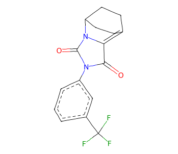 O=C1C2=C3CCC(CC3)N2C(=O)N1c1cccc(C(F)(F)F)c1